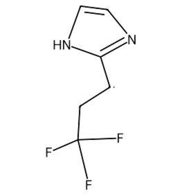 FC(F)(F)C[CH]c1ncc[nH]1